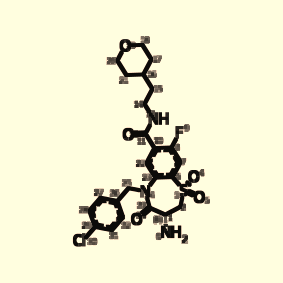 N[C@H]1CS(=O)(=O)c2cc(F)c(C(=O)NCCC3CCOCC3)cc2N(Cc2ccc(Cl)cc2)C1=O